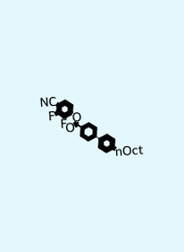 CCCCCCCCc1ccc([C@H]2CC[C@H](C(=O)Oc3ccc(C#N)c(F)c3F)CC2)cc1